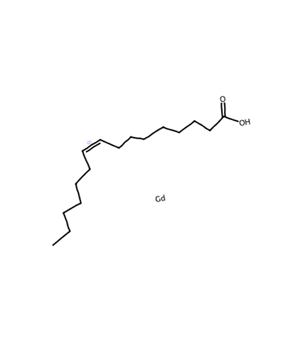 CCCCCC/C=C\CCCCCCCC(=O)O.[Gd]